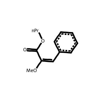 CCCOC(=O)C(=Cc1ccccc1)OC